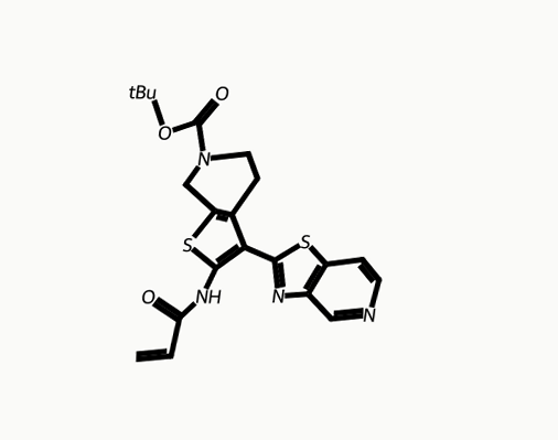 C=CC(=O)Nc1sc2c(c1-c1nc3cnccc3s1)CCN(C(=O)OC(C)(C)C)C2